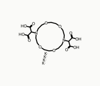 O=C(O)C(C(=O)O)N1CCOCCOCCN(C(C(=O)O)C(=O)O)CCOCCOCC1.[K].[K].[K].[K]